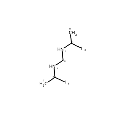 CC(I)NCNC(C)I